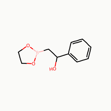 OC(CB1OCCO1)c1ccccc1